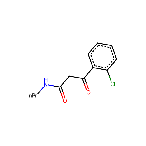 CCCNC(=O)CC(=O)c1ccccc1Cl